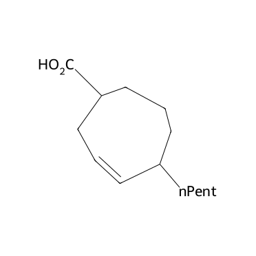 CCCCCC1C=CCC(C(=O)O)CCC1